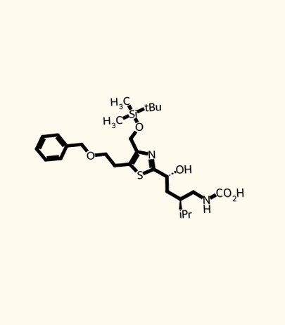 CC(C)[C@H](CNC(=O)O)C[C@@H](O)c1nc(CO[Si](C)(C)C(C)(C)C)c(CCOCc2ccccc2)s1